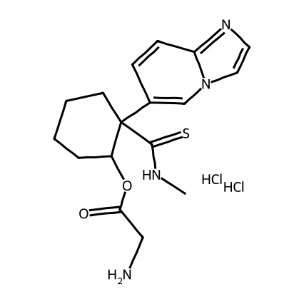 CNC(=S)C1(c2ccc3nccn3c2)CCCCC1OC(=O)CN.Cl.Cl